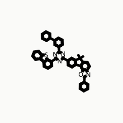 CC1(C)c2cc(-c3nc(-c4cccc(-c5ccccc5)c4)nc(-c4cccc5c4sc4ccccc45)n3)ccc2-c2c1ccc1nc(-c3ccccc3)oc21